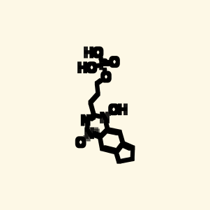 O=P(O)(O)OCCCC1=N[N+]([O-])=c2cc3c(cc2N1O)=CCC3